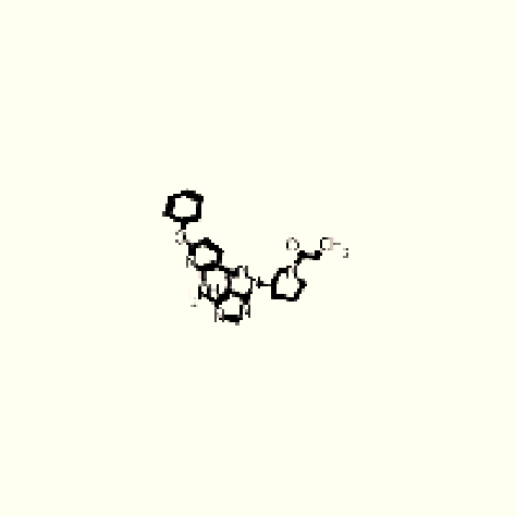 C=CC(=O)N1CCC[C@@H](n2nc(-c3ccc(Oc4ccccc4)nc3C)c3c(N)ncnc32)C1